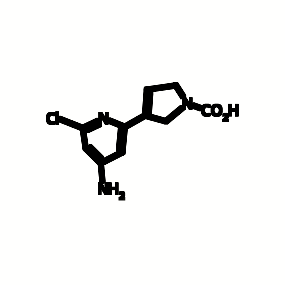 Nc1cc(Cl)nc(C2=CCN(C(=O)O)C2)c1